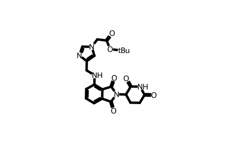 CC(C)(C)OC(=O)Cn1cnc(CNc2cccc3c2C(=O)N(C2CCC(=O)NC2=O)C3=O)c1